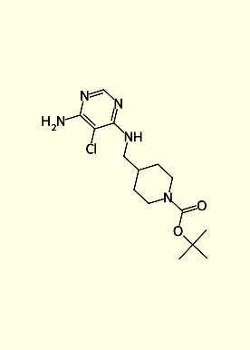 CC(C)(C)OC(=O)N1CCC(CNc2ncnc(N)c2Cl)CC1